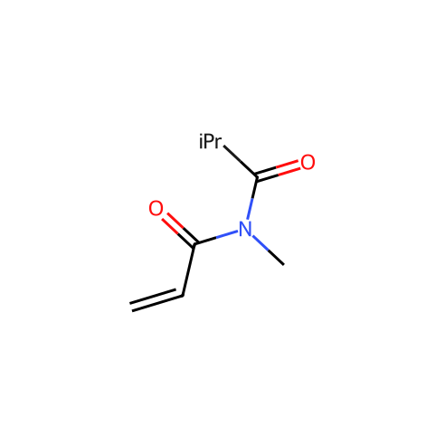 C=CC(=O)N(C)C(=O)C(C)C